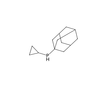 C1C2CC3CC1CC(PC1CC1)(C2)C3